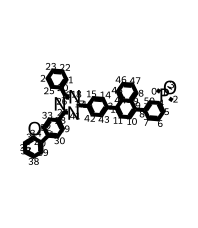 CP(C)(=O)c1cccc(-c2ccc(-c3ccc(-c4nc(-c5ccccc5)nc(-c5ccc6c(c5)oc5ccccc56)n4)cc3)c3ccccc23)c1